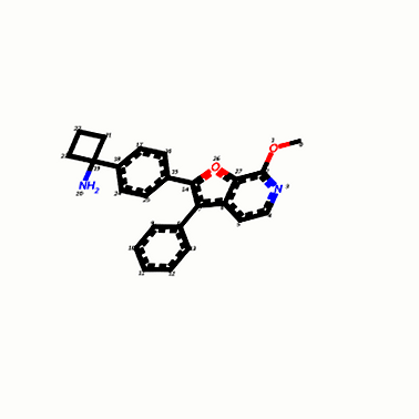 COc1nccc2c(-c3ccccc3)c(-c3ccc(C4(N)CCC4)cc3)oc12